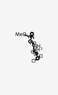 COCCCn1c(C2CCCN(C(=O)CC(N)CNC(=O)c3ccc(-c4cc(Cl)ccc4Cl)o3)C2)nc2ccccc21